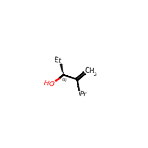 C=C(C(C)C)[C@@H](O)CC